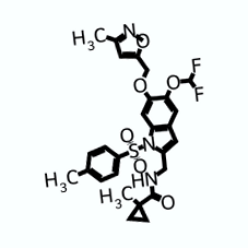 Cc1ccc(S(=O)(=O)n2c(CNC(=O)C3(C)CC3)cc3cc(OC(F)F)c(OCc4cc(C)no4)cc32)cc1